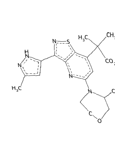 Cc1cc(-c2nsc3c(C(C)(C)C(=O)O)cc(N4CCOCC4C)nc23)[nH]n1